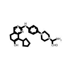 NC(C=O)N1CCN(c2ccc(Nc3ncc4c(n3)C(C3CCCC3)=C(O)CC4)cc2)CC1